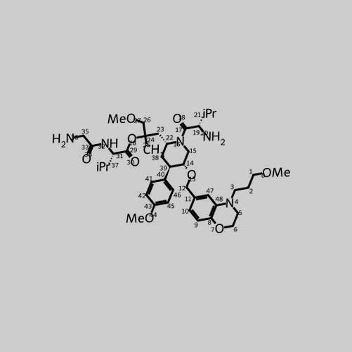 COCCCN1CCOc2ccc(CO[C@H]3CN(C(=O)[C@@H](N)C(C)C)[C@@H](CC(C)(COC)OC(=O)[C@@H](NC(=O)CN)C(C)C)C[C@@H]3c3ccc(OC)cc3)cc21